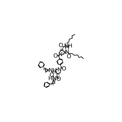 CCCCCCNC(=O)[C@@H]1CN(C(=O)c2ccc(C(=O)N3C[C@@H](C(=O)N[C@H]4C[C@@H]4c4ccccc4)[C@H](C(=O)N[C@H]4C[C@@H]4c4ccccc4)C3)cc2)C[C@H]1NC(=O)CCCCCC